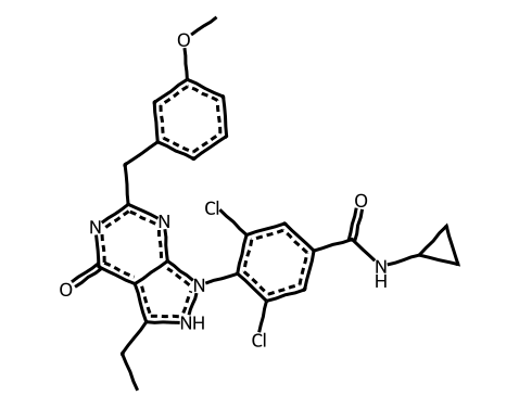 CCc1[nH]n(-c2c(Cl)cc(C(=O)NC3CC3)cc2Cl)c2nc(Cc3cccc(OC)c3)nc(=O)c1-2